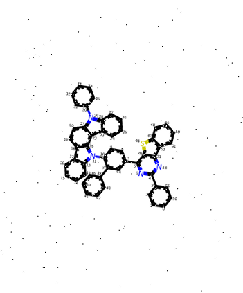 c1ccc(-c2nc(-c3ccc(-n4c5ccccc5c5ccc6c(c7ccccc7n6-c6ccccc6)c54)c(-c4ccccc4)c3)c3sc4ccccc4c3n2)cc1